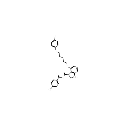 O=C(NC(=S)C1CNc2cccc(OCCCCCOc3ccc(Cl)cc3)c21)c1ccc(Cl)cc1